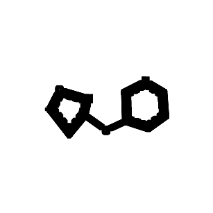 [c]1cc(Oc2cccnc2)no1